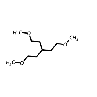 COCCC(CCOC)CCOC